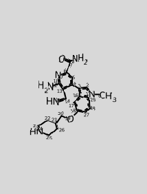 Cn1cc(-c2cc(C(N)=O)nc(N)c2C=N)c2cc(OCC3CCNCC3)ccc21